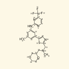 Cc1cc(Nc2nccc(C(F)(F)F)n2)cc(-c2cnc(CN(C)CC3COCCO3)s2)c1